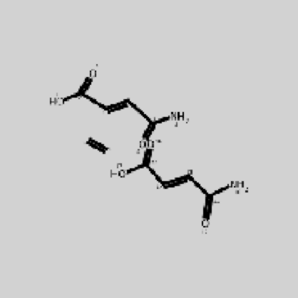 C=C.NC(=O)C=CC(=O)O.NC(=O)C=CC(=O)O